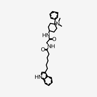 CN(C)C1(c2ccccc2)CCC(NC(=O)CNC(=O)CCCCCc2c[nH]c3ccccc23)CC1